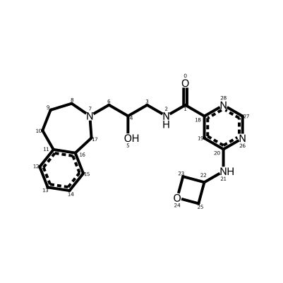 O=C(NCC(O)CN1CCCc2ccccc2C1)c1cc(NC2COC2)ncn1